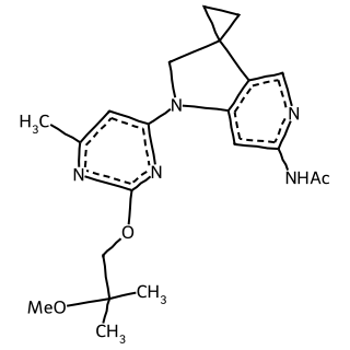 COC(C)(C)COc1nc(C)cc(N2CC3(CC3)c3cnc(NC(C)=O)cc32)n1